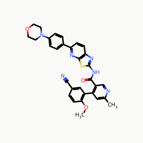 COc1ccc(C#N)cc1-c1cc(C)ncc1C(=O)Nc1nc2ccc(-c3ccc(N4CCOCC4)cc3)nc2s1